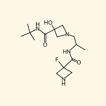 CC(CN1CC(O)(C(=O)NC(C)(C)C)C1)NC(=O)C1(F)CNC1